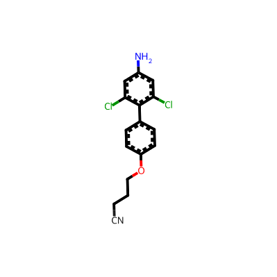 N#CCCCOc1ccc(-c2c(Cl)cc(N)cc2Cl)cc1